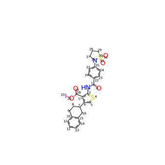 O=C(Nc1scc(C2CCc3ccccc3C2)c1C(=O)OI)c1ccc(N2CCCS2(=O)=O)cc1